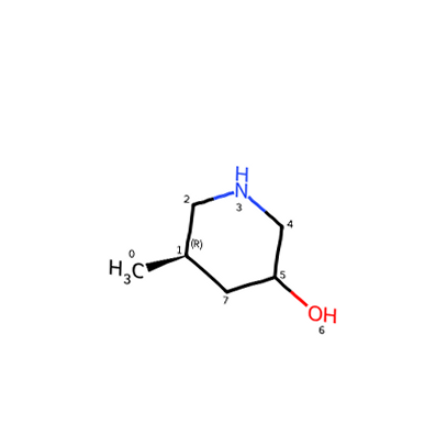 C[C@H]1CNCC(O)C1